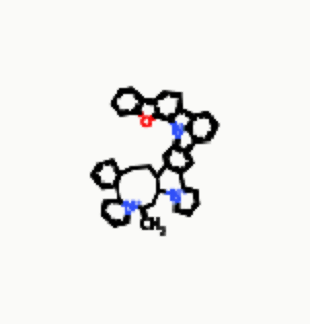 C=C1CC2C(CCc3ccccc3-c3cccc[n+]31)c1cc3c(cc1-c1cccc[n+]12)c1cccc2c4ccc5c6ccccc6oc5c4n3c12